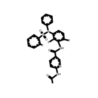 CC(=O)Nc1ccc(C(=O)Nc2c(F)ccc(N(c3ccccc3)S(=O)(=O)c3ccccc3F)c2F)cn1